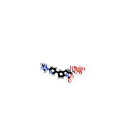 O=C1O[C@@H](COP(=O)(O)O)[C@@H]2Cc3cc(-c4ccc(-n5cncn5)nc4)ccc3N12